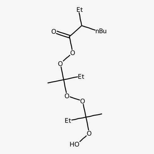 CCCCC(CC)C(=O)OOC(C)(CC)OOC(C)(CC)OO